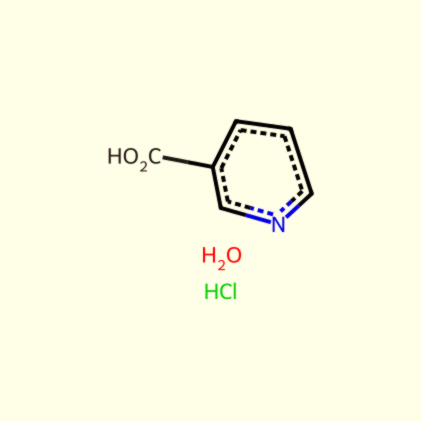 Cl.O.O=C(O)c1cccnc1